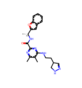 Cc1nc(C(=O)N[C@H](C)c2cc3ccccc3o2)nc(NCCC2C=NNC2)c1C